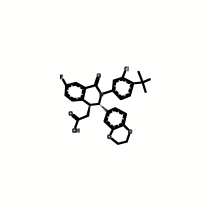 CC(C)(C)c1ccc(N2C(=O)c3cc(F)ccc3[C@H](CC(=O)O)[C@H]2c2ccc3c(c2)OCCO3)cc1Cl